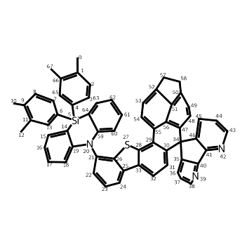 Cc1ccc([Si]2(c3ccc(C)c(C)c3)c3ccccc3N(c3cccc4c3sc3c5c(ccc34)C3(c4cccnc4-c4ncccc43)c3ccc4c6c(ccc-5c36)CC4)c3ccccc32)cc1C